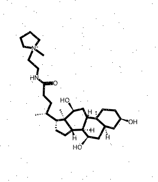 C[C@H](CCC(=O)NCC[N+]1(C)CCCC1)[C@H]1CC[C@H]2[C@@H]3[C@H](O)C[C@@H]4C[C@H](O)CC[C@]4(C)[C@H]3C[C@H](O)[C@]12C